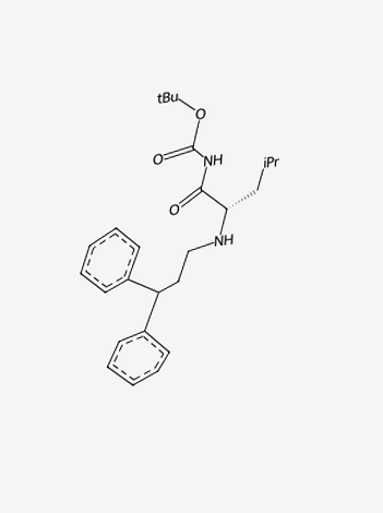 CC(C)C[C@H](NCCC(c1ccccc1)c1ccccc1)C(=O)NC(=O)OC(C)(C)C